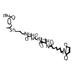 CC(COC(=O)C(C)(C)C)SSCCCNC(=O)CNC(=O)CNC(=O)CNC(=O)CCCCCN1C(=O)C=CC1=O